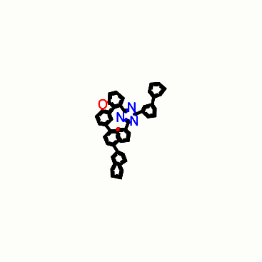 c1ccc(-c2cccc(-c3nc(-c4ccccc4)nc(-c4cccc5oc6ccc(-c7ccc(-c8ccc9ccccc9c8)cc7)cc6c45)n3)c2)cc1